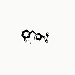 Nc1cccc(Cn2cc([N+](=O)[O-])cn2)c1